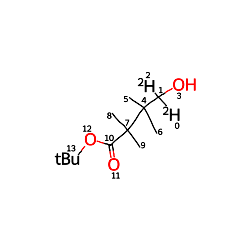 [2H]C([2H])(O)C(C)(C)C(C)(C)C(=O)OC(C)(C)C